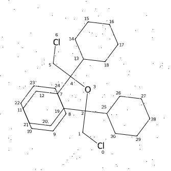 ClCC(OC(CCl)(C1CCCCC1)C1CCCCC1)(C1CCCCC1)C1CCCCC1